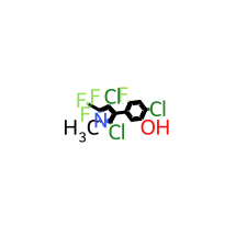 Cn1c(Cl)c(-c2cc(O)c(Cl)cc2F)c(Cl)c1C(F)(F)F